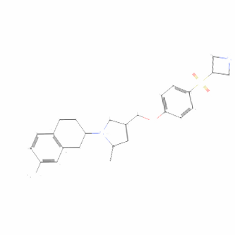 CC1CC(COc2ccc(S(=O)(=O)C3CNC3)cc2)CN1C1CCc2ccc(C#N)cc2C1